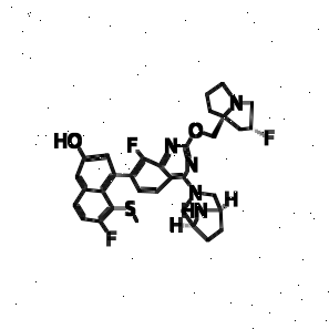 CSc1c(F)ccc2cc(O)cc(-c3ccc4c(N5C[C@H]6CC[C@@H](C5)N6)nc(OC[C@@]56CCCN5C[C@H](F)C6)nc4c3F)c12